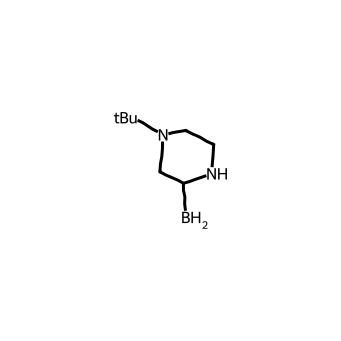 BC1CN(C(C)(C)C)CCN1